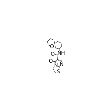 O=C(NC1CCCC2(CCCCO2)C1)c1cnc2n(c1=O)CCS2